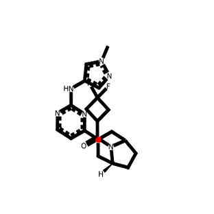 Cn1cc(Nc2nccc(N3CC4CC[C@H](C3)N4C(=O)C3CC(F)(F)C3)n2)cn1